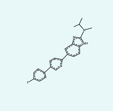 CC(C)N(C)c1nc2cc(-c3ccc(-c4ccc(F)cc4)cn3)ccc2[nH]1